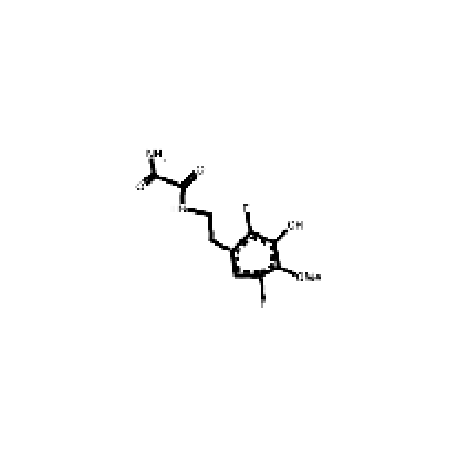 COc1c(F)cc(CCNC(=O)C(N)=O)c(F)c1O